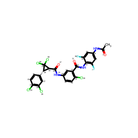 CC(=O)Nc1cc(F)c(NC(=O)c2cc(NC(=O)C3[C@H](c4ccc(Cl)c(Cl)c4)C3(Cl)Cl)ccc2Cl)c(F)c1